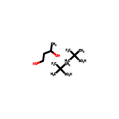 CC(C)(C(F)(F)F)S(=O)(=O)O.CC(C)(C(F)(F)F)S(=O)(=O)O.CC(O)CCO